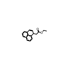 CCOC(=O)CC1C=Cc2cccc3cccc1c23